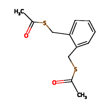 CC(=O)SCc1ccccc1CSC(C)=O